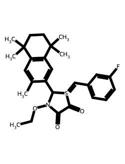 CCON1C(=O)C(=O)S(=Cc2cccc(F)c2)C1c1cc2c(cc1C)C(C)(C)CCC2(C)C